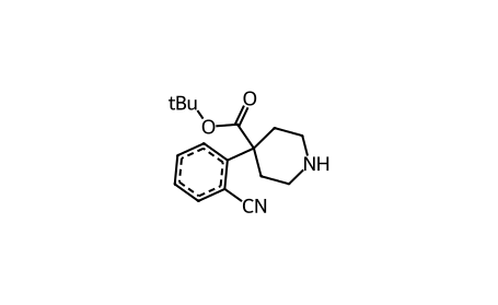 CC(C)(C)OC(=O)C1(c2ccccc2C#N)CCNCC1